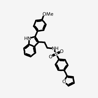 COc1ccc(-c2[nH]c3ccccc3c2CCNS(=O)(=O)c2ccc(-c3ccco3)cc2)cc1